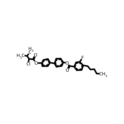 CCCCCc1ccc(C(=O)Oc2ccc(-c3ccc(OC(=O)C(Cl)C(C)C)cc3)cc2)cc1F